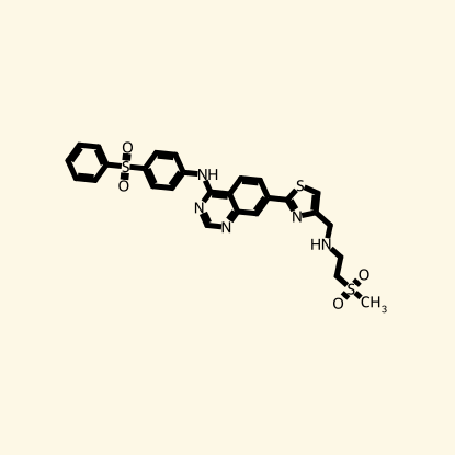 CS(=O)(=O)CCNCc1csc(-c2ccc3c(Nc4ccc(S(=O)(=O)c5ccccc5)cc4)ncnc3c2)n1